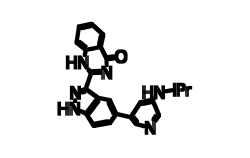 CC(C)Nc1cncc(-c2ccc3[nH]nc(-c4nc(=O)c5ccccc5[nH]4)c3c2)c1